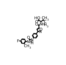 Cc1cc(F)ccc1NC(=O)Nc1ccc(-c2cc(C(=O)NC(C(=O)O)C(C)C)on2)cc1